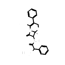 O=C(O)C1=C(c2ccccc2)CS[C@@H]2C(NC(=O)C(C(=O)O)c3ccccc3)C(=O)N12